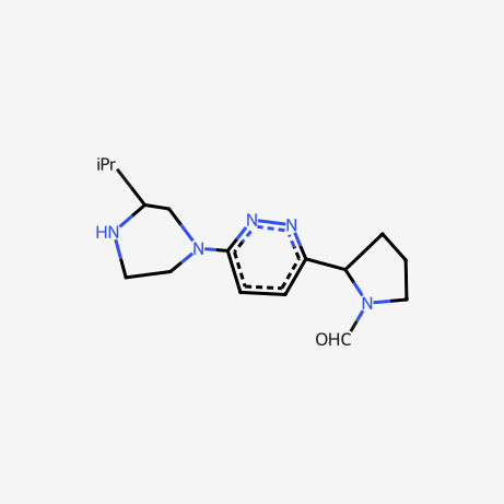 CC(C)C1CN(c2ccc(C3CCCN3C=O)nn2)CCN1